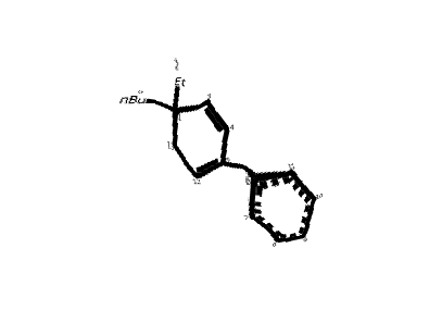 CCCCC1(CC)C=CC(c2ccccc2)=CC1